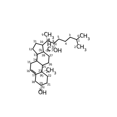 CC(C)CCC[C@H](O)[C@@H](C)C1CCC2C3CC=C4C[C@@H](O)CC[C@]4(C)C3CC[C@@]21C